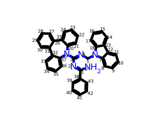 N/C(=N\C(=N/Cn1c2ccccc2c2ccccc21)N1c2ccccc2-c2ccccc2-c2ccccc21)c1ccccc1